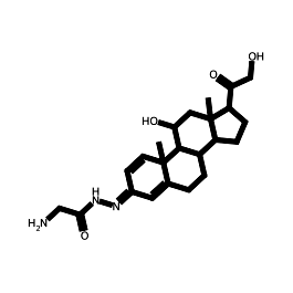 CC12C=C/C(=N\NC(=O)CN)C=C1CCC1C2C(O)CC2(C)C(C(=O)CO)CCC12